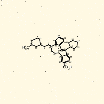 CN1CCCC(CCN2CCn3c(c(C4CCCCC4)c4ccc(C(=O)O)cc43)-c3ccccc32)C1